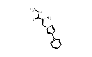 CNC(=O)[C@@H](N)Cn1cc(-c2ccccc2)cn1